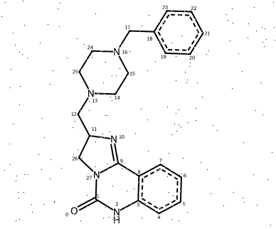 O=C1Nc2ccccc2C2=NC(CN3CCN(Cc4ccccc4)CC3)CN12